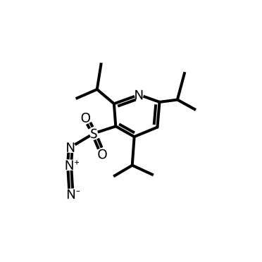 CC(C)c1cc(C(C)C)c(S(=O)(=O)N=[N+]=[N-])c(C(C)C)n1